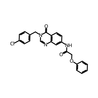 O=C(COc1ccccc1)Nc1ccc2c(=O)n(Cc3ccc(Cl)cc3)cnc2c1